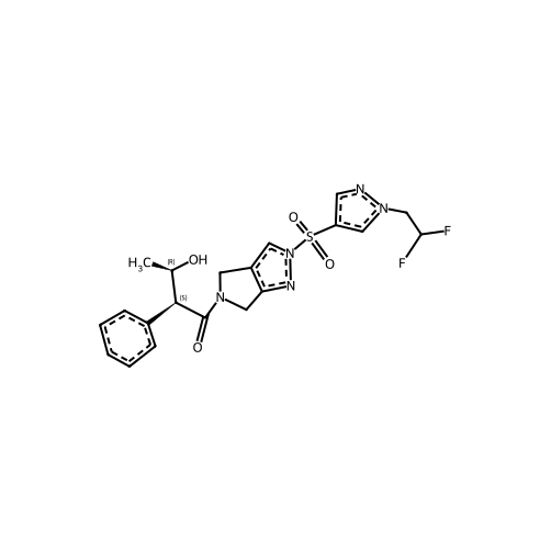 C[C@@H](O)[C@@H](C(=O)N1Cc2cn(S(=O)(=O)c3cnn(CC(F)F)c3)nc2C1)c1ccccc1